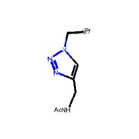 CC(=O)NCc1cn(CC(C)C)nn1